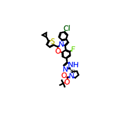 CC(C)(C)OC(=O)N1CCC[C@H]1c1ncc(-c2cc(F)c3c(c2)OC(c2ccc(C4CC4)s2)n2c-3cc3cc(Cl)ccc32)[nH]1